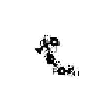 O=C(O)c1ccc(F)c(OCC23CCC(OCc4c(-c5c(Cl)cccc5Cl)noc4C4CC4)(CC2)CC3)c1